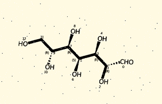 O=C[C@H](O)[C@H](O)[C@@H](O)[C@H](O)[C@H](O)CO